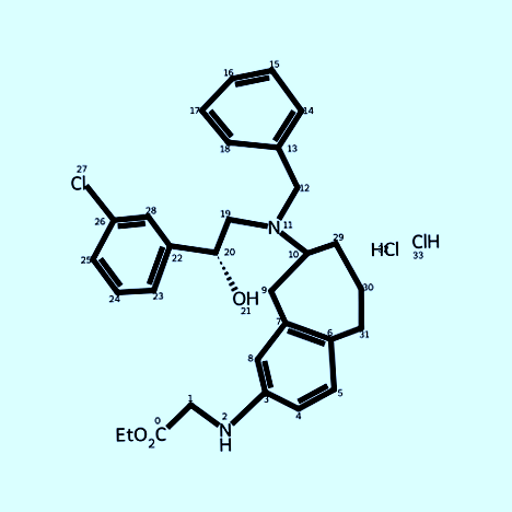 CCOC(=O)CNc1ccc2c(c1)CC(N(Cc1ccccc1)C[C@H](O)c1cccc(Cl)c1)CCC2.Cl.Cl